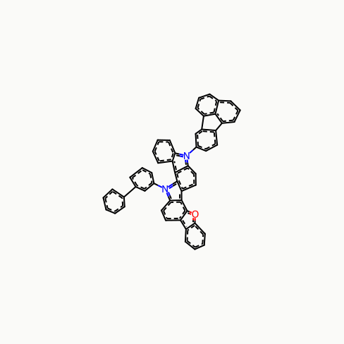 c1ccc(-c2cccc(-n3c4ccc5c6ccccc6oc5c4c4ccc5c(c6ccccc6n5-c5ccc6c(c5)-c5cccc7cccc-6c57)c43)c2)cc1